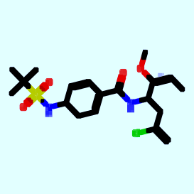 C=C(Cl)CC(NC(=O)C1=CCC(NS(=O)(=O)C(C)(C)C)C=C1)/C(=C\C)OC